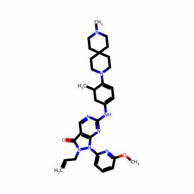 C=CCn1c(=O)c2cnc(NC3=CC=C(N4CCC5(CCN(C)CC5)CC4)C(C)C3)nc2n1-c1cccc(OC)n1